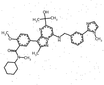 COc1ccc(-c2c(C)nn3c(NCc4cccc(-c5nccn5C)c4)cc(C(C)(C)O)nc23)cc1C(=O)N(C)C1CCCCC1